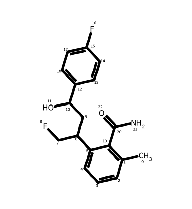 Cc1cccc(C(CF)CC(O)c2ccc(F)cc2)c1C(N)=O